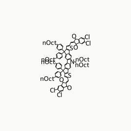 CCCCCCCCc1ccc(C2(c3ccc(CCCCCCCC)cc3)c3cc4c5cc6c(cc5n(C(CCCCCCCC)CCCCCCCC)c4cc3-c3sc(C=C4C(=O)c5cc(Cl)c(Cl)cc5C4=O)cc32)-c2sc(C=C3C(=O)c4cc(Cl)c(Cl)cc4C3=O)cc2C6(c2ccc(CCCCCCCC)cc2)c2ccc(CCCCCCCC)cc2)cc1